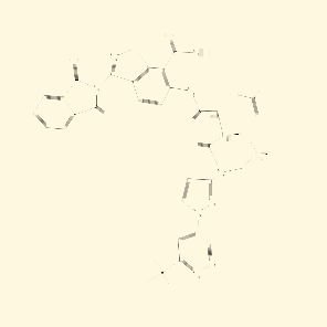 CC(=O)O[C@@H](C(=O)Nc1ccc2c(N3C(=O)c4ccccc4C3=O)nsc2c1C(N)=O)[C@H]1O[C@@H](C)CN(c2ccn(-c3cnnc(C(F)(F)F)c3)n2)C1=O